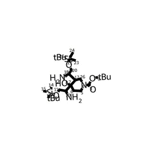 CC(C)(C)OC(=O)N1CCC(O)(C(N)CO[Si](C)(C)C(C)(C)C)C(C(N)CO[Si](C)(C)C(C)(C)C)C1